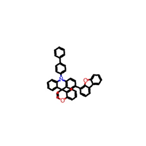 c1ccc(-c2ccc(N3c4ccccc4C4(c5ccccc5Oc5ccccc54)c4cc(-c5cccc6c5oc5ccccc56)ccc43)cc2)cc1